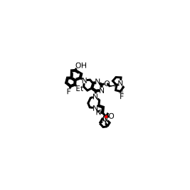 CCc1c(F)ccc2cc(O)cc(N3CCc4c(nc(OC[C@@]56CCCN5C[C@H](F)C6)nc4N4CCCn5nc(C(=O)N6C7CC6CN(C)C7)cc5C4)C3)c12